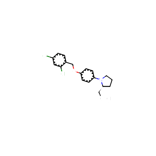 O=C(O)C[C@@H]1CCCN1c1ccc(OCc2ccc(Cl)cc2Cl)cc1